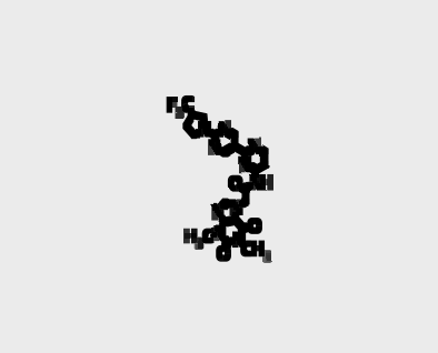 Cn1c(=O)c2c(ncn2CC(=O)Nc2ccnc(-c3cnc(N4CCC(C(F)(F)F)C4)nc3)n2)n(C)c1=O